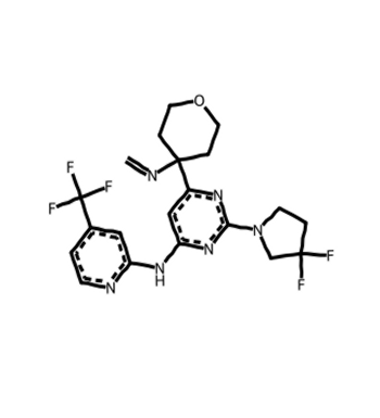 C=NC1(c2cc(Nc3cc(C(F)(F)F)ccn3)nc(N3CCC(F)(F)C3)n2)CCOCC1